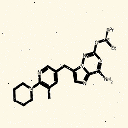 CCC[C@@H](CC)Oc1nc(N)c2ncc(Cc3cnc(N4CCCCC4)c(C)c3)n2n1